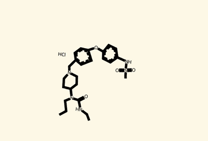 CCCN(C(=O)NCC)C1CCN(Cc2ccc(Oc3ccc(NS(C)(=O)=O)cc3)cc2)CC1.Cl